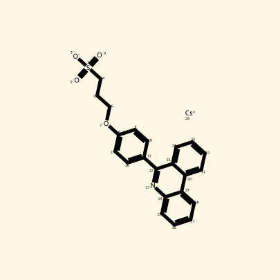 O=S(=O)([O-])CCCOc1ccc(-c2nc3ccccc3c3ccccc23)cc1.[Cs+]